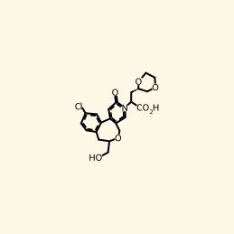 O=C(O)C(C[C@@H]1COCCO1)n1cc2c(cc1=O)-c1cc(Cl)ccc1CC(CO)OC2